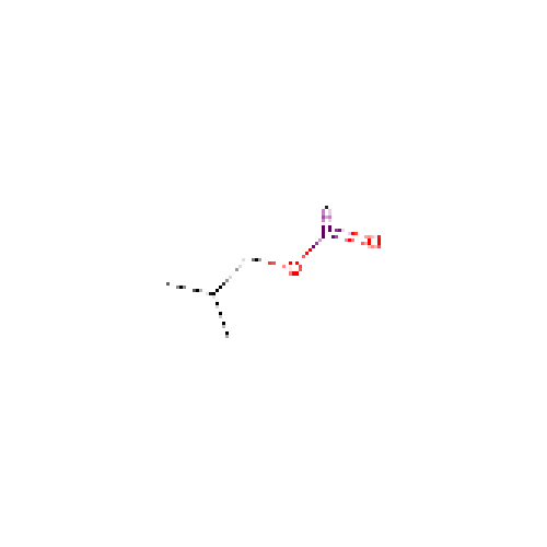 CC(C)CO[PH]=O